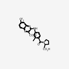 Cc1cc(Nc2nc3cc(C(F)(F)F)ccc3nc2C(=O)O)ccc1C(=O)N1CCCC1C(=O)O